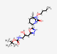 CCCCON1C(=O)N2C[C@@H]1CC[C@H]2c1nnc(CC(O)CNC(=O)OC(C)(C)C)o1